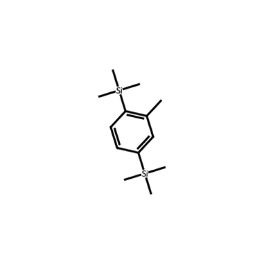 Cc1cc([Si](C)(C)C)ccc1[Si](C)(C)C